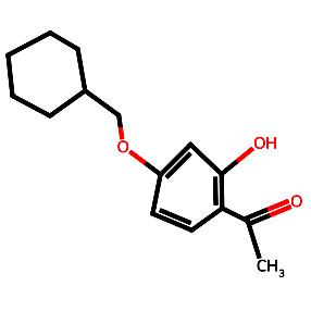 CC(=O)c1ccc(OCC2CCCCC2)cc1O